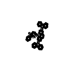 c1ccc2c(c1)sc1ccc(-n3c4cc(-n5c6ccccc6c6ccccc65)cc5ccc6cc(-n7c8ccccc8c8ccccc87)cc3c6c54)nc12